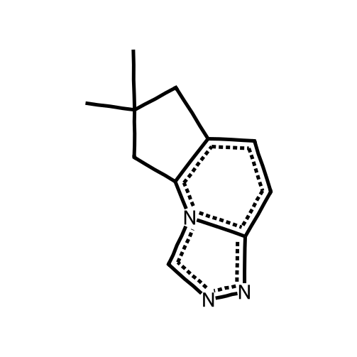 CC1(C)Cc2ccc3nncn3c2C1